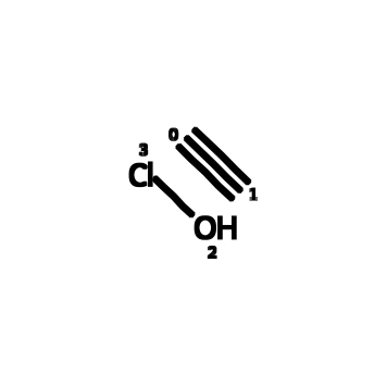 C#C.OCl